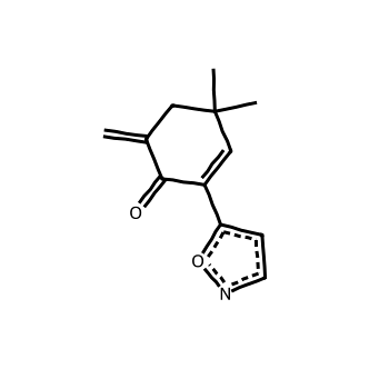 C=C1CC(C)(C)C=C(c2ccno2)C1=O